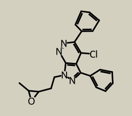 CC1OC1CCn1nc(-c2ccccc2)c2c(Cl)c(-c3ccccc3)nnc21